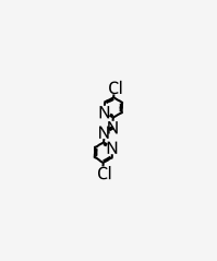 Clc1ccc(N=Nc2ccc(Cl)cn2)nc1